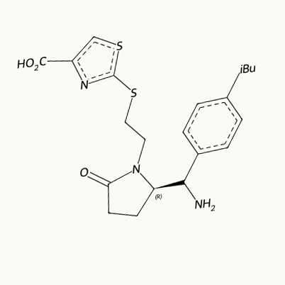 CCC(C)c1ccc(C(N)[C@H]2CCC(=O)N2CCSc2nc(C(=O)O)cs2)cc1